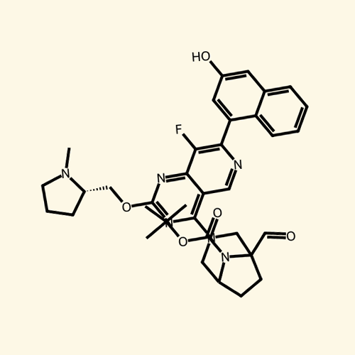 CN1CCC[C@H]1COc1nc(N2CC3CCC(C=O)(C2)N3C(=O)OC(C)(C)C)c2cnc(-c3cc(O)cc4ccccc34)c(F)c2n1